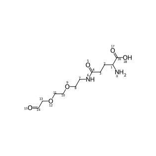 NC(CCC(=O)NCCOCCOCC=O)C(=O)O